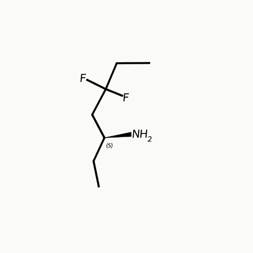 CC[C@H](N)CC(F)(F)CC